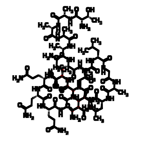 CC(C)C[C@H](NC(=O)[C@H](C)NC(=O)[C@H](C)NC(=O)[C@H](C)NC(=O)[C@H](C)NC(=O)[C@H](C)NC(=O)[C@H](C)NC(=O)[C@@H](N)[C@@H](C)O)C(=O)NCC(=O)N[C@@H](C)C(=O)N[C@@H](CC(C)C)C(=O)N[C@@H](CCC(N)=O)C(=O)N[C@@H](CCC(N)=O)C(=O)N[C@@H](CCC(N)=O)C(=O)N[C@@H](CCC(N)=O)C(=O)N[C@@H](CCC(N)=O)C(=O)N[C@@H](CCC(N)=O)C(=O)N[C@@H](CCC(N)=O)C(=O)N[C@@H](CCC(N)=O)C(=O)N[C@@H](C)C(=O)O